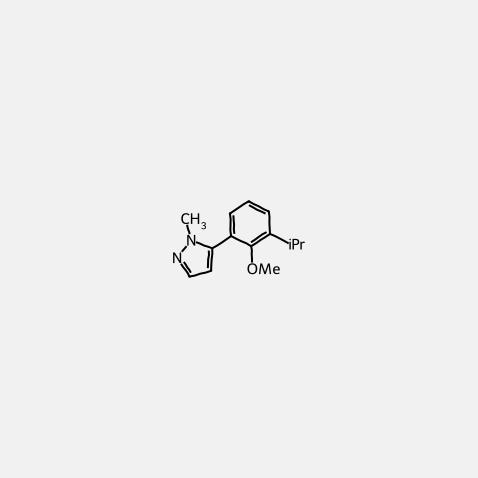 COc1c(-c2ccnn2C)cccc1C(C)C